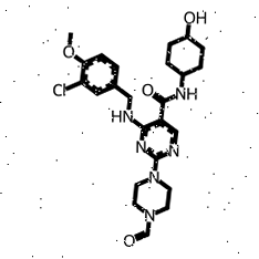 COc1ccc(CNc2nc(N3CCN(C=O)CC3)ncc2C(=O)NC2CCC(O)CC2)cc1Cl